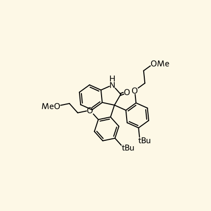 COCCOc1ccc(C(C)(C)C)cc1C1(c2cc(C(C)(C)C)ccc2OCCOC)C(=O)Nc2ccccc21